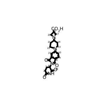 O=C1CCC(N2C(=O)c3ccc(N4CCC(N5CC(C(=O)O)C5)CC4)cc3C2=O)C(=O)N1